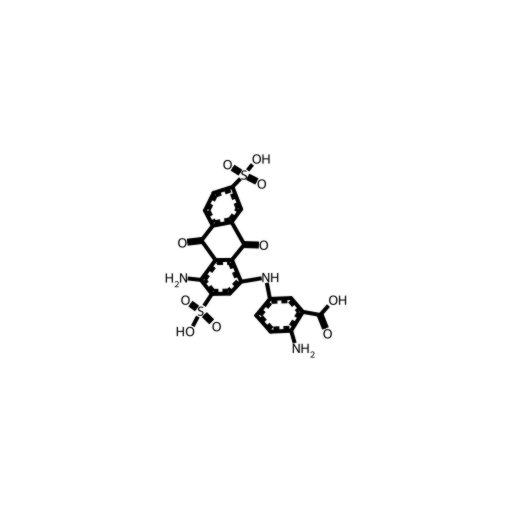 Nc1ccc(Nc2cc(S(=O)(=O)O)c(N)c3c2C(=O)c2cc(S(=O)(=O)O)ccc2C3=O)cc1C(=O)O